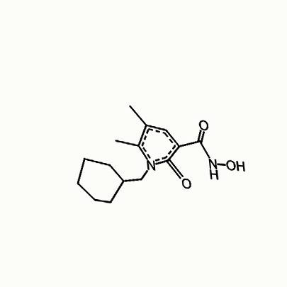 Cc1cc(C(=O)NO)c(=O)n(CC2CCCCC2)c1C